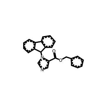 O=C(OCc1ccccc1)c1cncn1C1c2ccccc2-c2ccccc21